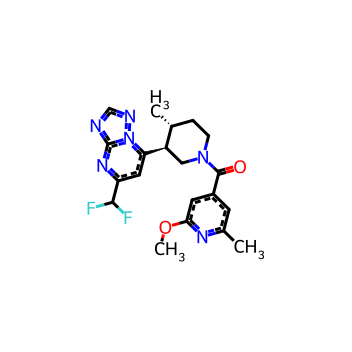 COc1cc(C(=O)N2CC[C@@H](C)[C@H](c3cc(C(F)F)nc4ncnn34)C2)cc(C)n1